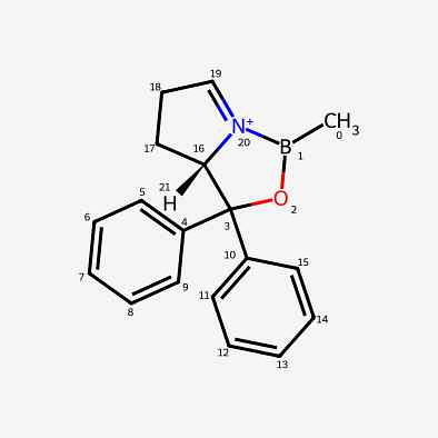 CB1OC(c2ccccc2)(c2ccccc2)[C@@H]2CCC=[N+]12